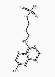 CS(=O)(=O)OCCCNc1ccnc2cc(Cl)ccc12